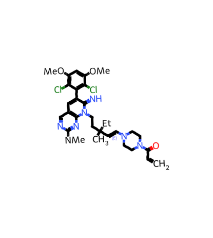 C=CC(=O)N1CCN(/C=C/C(C)(CC)CCn2c(=N)c(-c3c(Cl)c(OC)cc(OC)c3Cl)cc3cnc(NC)nc32)CC1